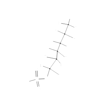 CS(=O)(=O)OC(F)(F)C(F)(F)C(F)(F)C(F)(F)C(F)(F)C(F)(F)F